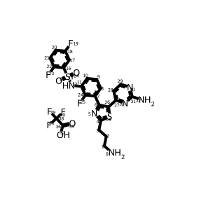 NCCCc1nc(-c2cccc(NS(=O)(=O)c3cc(F)ccc3F)c2F)c(-c2ccnc(N)n2)s1.O=C(O)C(F)(F)F